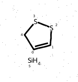 C1=CSSC1.[SiH4]